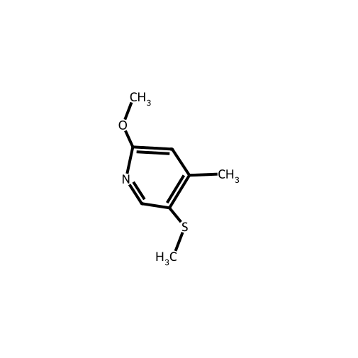 COc1cc(C)c(SC)cn1